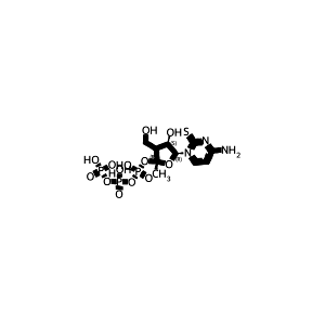 C[C@]1(OP(=O)(O)OP(=O)(O)OP(=O)(O)O)O[C@@H](n2ccc(N)nc2=S)[C@@H](O)C1CO